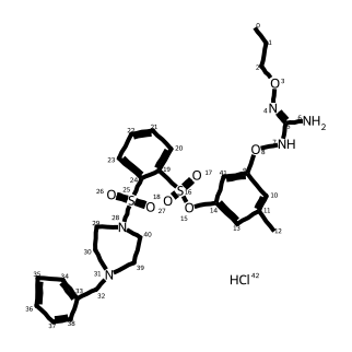 CCCON=C(N)NOc1cc(C)cc(OS(=O)(=O)c2ccccc2S(=O)(=O)N2CCN(Cc3ccccc3)CC2)c1.Cl